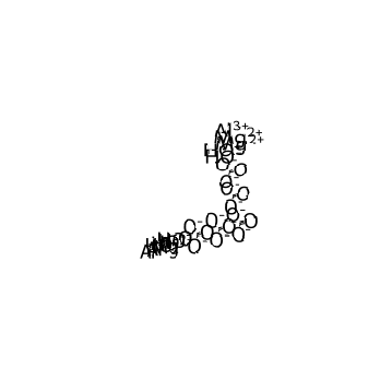 O.O=C([O-])[O-].O=C([O-])[O-].O=C([O-])[O-].O=C([O-])[O-].O=C([O-])[O-].[Al+3].[Al+3].[Al+3].[Mg+2].[Mg+2].[Mg+2].[OH-].[OH-].[OH-].[OH-].[OH-]